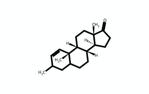 CC1C=C[C@@]2(C)C(CC[C@@H]3[C@H]2CC[C@]2(C)C(=O)CC[C@@H]32)C1